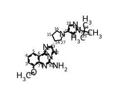 COc1cccc2c1nc(N)n1nc([C@@H]3CCN(c4cnn(C(C)(C)C)c4)C3)nc21